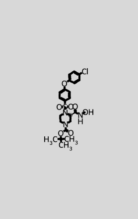 CC(C)(C)OC(=O)N1CCN(S(=O)(=O)c2ccc(Oc3ccc(Cl)cc3)cc2)[C@@H](C(=O)NO)C1